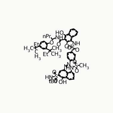 CCCC(NC(=O)c1c(C)c(NS(=O)(=O)c2ccc(N=Nc3cc(S(=O)(=O)NC(C)(C)C)c(O)c4cccc(NS(C)(=O)=O)c34)cc2)c2ccccc2c1O)Oc1ccc(C(C)(C)CC)cc1C(C)(C)CC